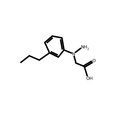 CCCc1cccc(N(N)CC(=O)O)c1